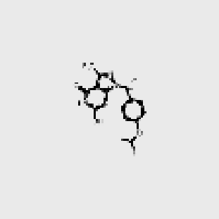 C[C@H](c1ccc(OC(F)F)cc1)n1nc(C(F)(F)F)c2c(=O)[nH]c(O)nc21